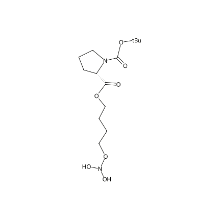 CC(C)(C)OC(=O)N1CCC[C@H]1C(=O)OCCCCON(O)O